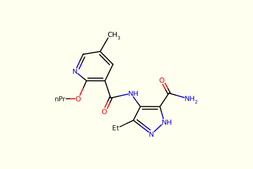 CCCOc1ncc(C)cc1C(=O)Nc1c(CC)n[nH]c1C(N)=O